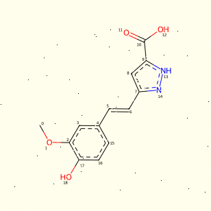 COc1cc(/C=C/c2cc(C(=O)O)[nH]n2)ccc1O